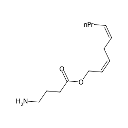 CCC/C=C\C/C=C\COC(=O)CCCN